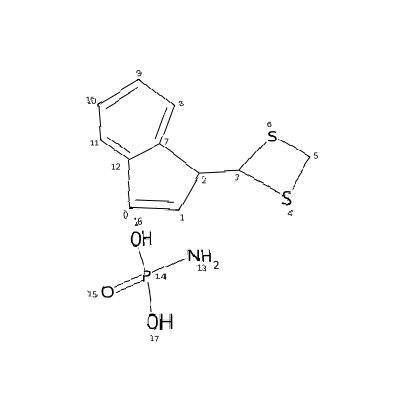 C1=CC(C2SCS2)c2ccccc21.NP(=O)(O)O